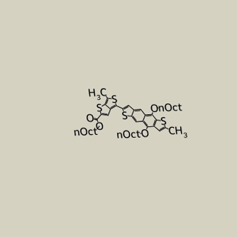 CCCCCCCCOC(=O)c1cc2c(-c3cc4cc5c(OCCCCCCCC)c6sc(C)cc6c(OCCCCCCCC)c5cc4s3)sc(C)c2s1